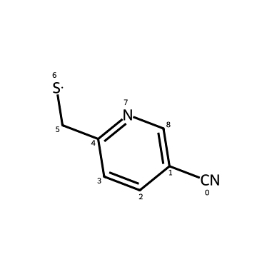 N#Cc1ccc(C[S])nc1